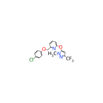 Cn1nc(C(F)(F)F)cc1Oc1cccc(COc2ccc(Cl)cc2)n1